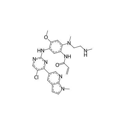 C=CC(=O)Nc1cc(Nc2ncc(Cl)c(-c3cnc4c(ccn4C)c3)n2)c(OC)cc1N(C)CCNC